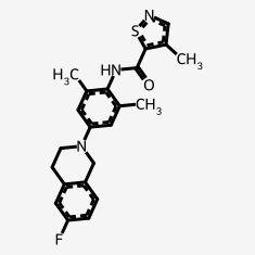 Cc1cnsc1C(=O)Nc1c(C)cc(N2CCc3cc(F)ccc3C2)cc1C